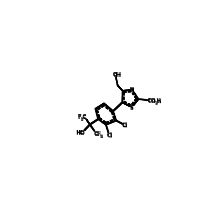 O=C(O)c1nc(CO)c(-c2ccc(C(O)(C(F)(F)F)C(F)(F)F)c(Cl)c2Cl)s1